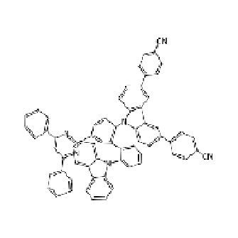 N#Cc1ccc(-c2ccc3c(c2)c2cc(-c4ccc(C#N)cc4)ccc2n3-c2ccc(-c3nc(-c4ccccc4)cc(-c4ccccc4)n3)cc2-c2ccccc2-n2c3ccccc3c3ccccc32)cc1